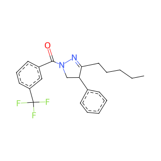 CCCCCC1=NN(C(=O)c2cccc(C(F)(F)F)c2)CC1c1ccccc1